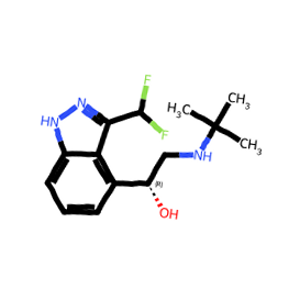 CC(C)(C)NC[C@H](O)c1cccc2[nH]nc(C(F)F)c12